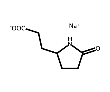 O=C([O-])CCC1CCC(=O)N1.[Na+]